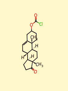 C[C@]12CCC(OC(=O)Cl)CC1=CC[C@@H]1[C@@H]2CC[C@]2(C)C(=O)CC[C@@H]12